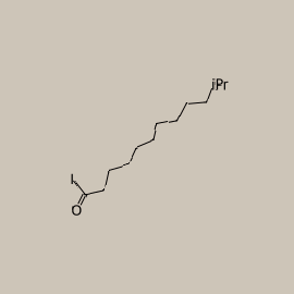 CC(C)CCCCCCCCCC(=O)I